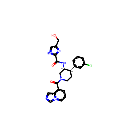 O=C(N[C@@H]1CN(C(=O)c2cccn3cncc23)CC[C@H]1c1cccc(Cl)c1)c1nc(CO)c[nH]1